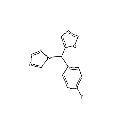 Fc1ccc(C(c2ccco2)n2cncn2)cc1